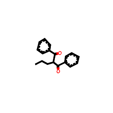 CCCC(C(=O)c1ccccc1)C(=O)c1ccccc1